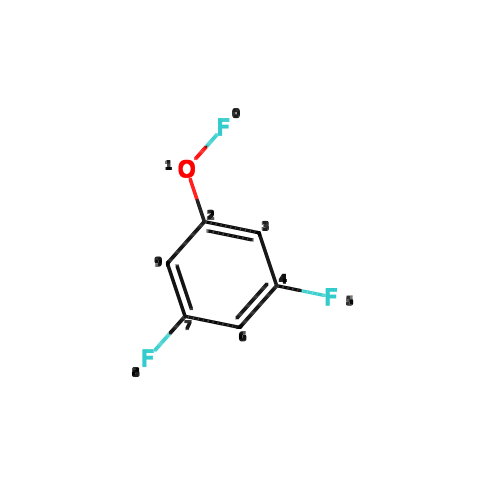 FOc1cc(F)cc(F)c1